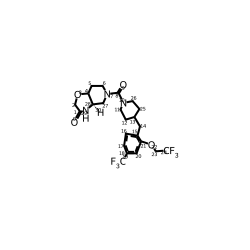 O=C1COC2CCN(C(=O)N3CCC(Cc4ccc(C(F)(F)F)cc4OCC(F)(F)F)CC3)C[C@H]2N1